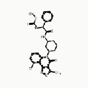 Cc1onc2c1c(=O)n(C1CCCC(NC(=O)C(NC(=O)OC(C)(C)C)c3ccccc3)C1)c1cccc(Cl)c21